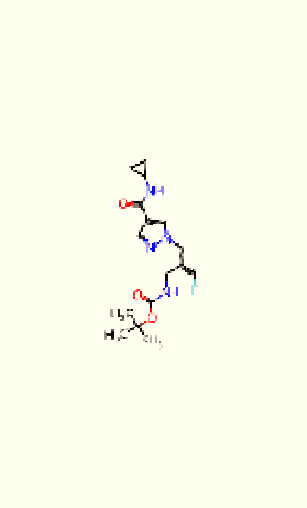 CC(C)(C)OC(=O)NC/C(=C\F)Cn1cc(C(=O)NC2CC2)cn1